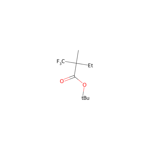 CCC(C)(C(=O)OC(C)(C)C)C(F)(F)F